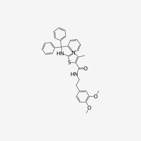 COc1ccc(CCNC(=O)c2sc(NC(c3ccccc3)(c3ccccc3)c3ccccc3)nc2C)cc1OC